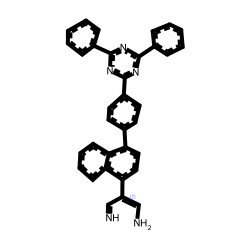 N=C/C(=C\N)c1ccc(-c2ccc(-c3nc(-c4ccccc4)nc(-c4ccccc4)n3)cc2)c2ccccc12